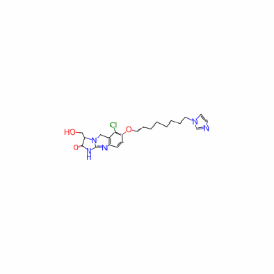 O=C1NC2=Nc3ccc(OCCCCCCCCn4ccnc4)c(Cl)c3CN2C1CO